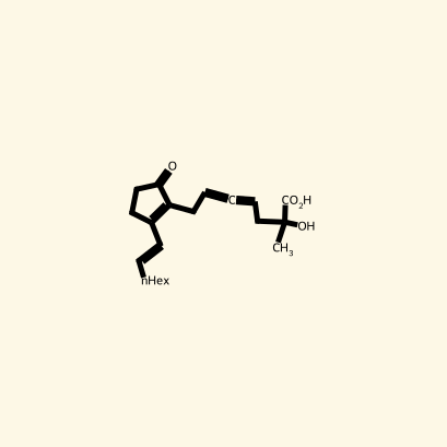 CCCCCC/C=C/C1=C(CC=C=CCC(C)(O)C(=O)O)C(=O)CC1